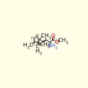 COC(=O)C(N)/C=C/C1(C)CCC(C)C1(C)C